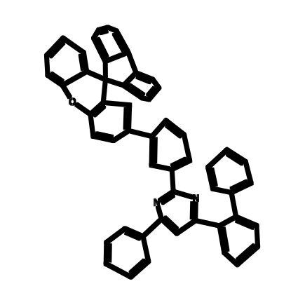 c1ccc(-c2cc(-c3ccccc3-c3ccccc3)nc(-c3cccc(-c4ccc5c(c4)C4(c6ccccc6O5)c5ccccc5-c5ccccc54)c3)n2)cc1